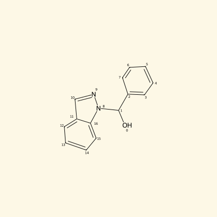 OC(c1ccccc1)n1ncc2ccccc21